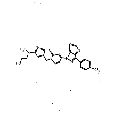 CN(CCO)c1nccc(Cn2ccc(-n3nc(-c4ccc(C(F)(F)F)cc4)c4nccnc43)cc2=O)n1